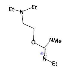 CC/N=C(\NC)OCCN(CC)CC